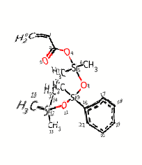 C=CC(=O)O[Si](C)(C)O[Si](C)(O[Si](C)(C)C)c1ccccc1